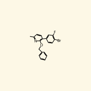 Cc1ccc(-c2ccc(Br)c(F)c2)c(OCc2ccccc2)n1